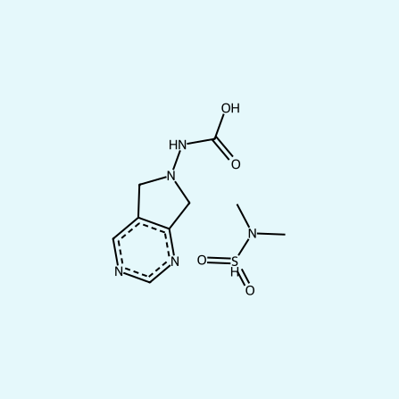 CN(C)[SH](=O)=O.O=C(O)NN1Cc2cncnc2C1